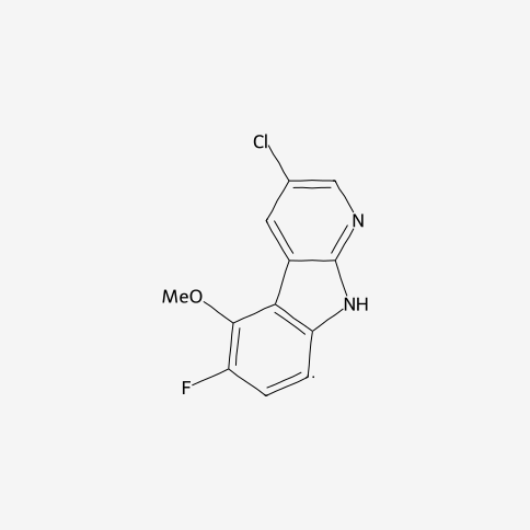 COc1c(F)c[c]c2[nH]c3ncc(Cl)cc3c12